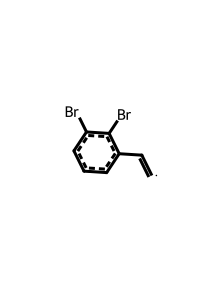 [CH]=Cc1cccc(Br)c1Br